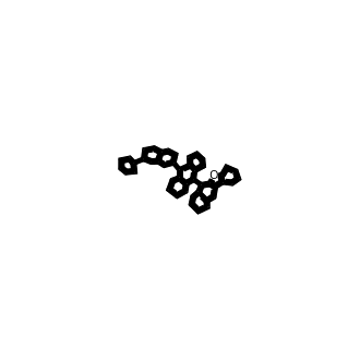 c1ccc(-c2ccc3ccc(-c4c5ccccc5c(-c5c6ccccc6cc6c5oc5ccccc56)c5ccccc45)cc3c2)cc1